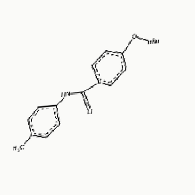 CCCCOc1ccc(C(=O)Nc2ccc(C)cc2)cc1